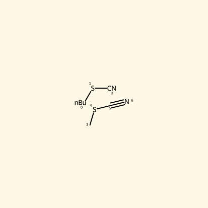 CCCCSC#N.CSC#N